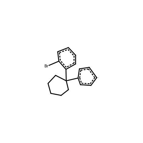 Brc1ccccc1C1(c2cc[c]cc2)CCCCC1